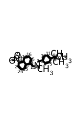 CN(Cc1ccc(C(C)(C)C)cc1)Cc1cccc2c([N+](=O)[O-])cccc12